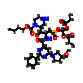 CCCCOC(=O)N1CCNCC1C(=O)[C@H](/C=[P+](\[O-])OC(OC(=O)CC)OC(=O)CC)NC(=O)c1cc(N2CC[C@H](OC)C2)nc(-c2ccccc2)n1